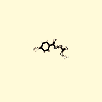 CC1CCC(C(=O)NNC(=O)OC(C)(C)C)CC1